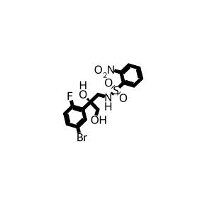 O=[N+]([O-])c1ccccc1S(=O)(=O)NC[C@](O)(CO)c1cc(Br)ccc1F